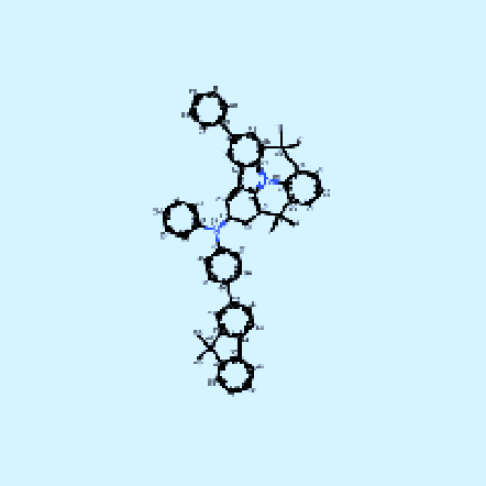 CC1(C)C2=c3c(c4cc(-c5ccccc5)cc5c4n3-c3c1cccc3C5(C)C)=CC(N(c1ccccc1)c1ccc(-c3ccc4c(c3)C(C)(C)c3ccccc3-4)cc1)C2